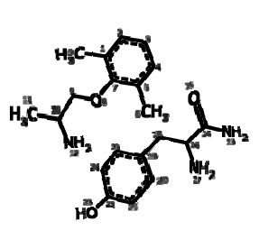 Cc1cccc(C)c1OCC(C)N.NC(=O)C(N)Cc1ccc(O)cc1